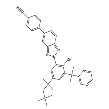 CC(C)(C)CC(C)(C)c1cc(-n2nc3ccc(-c4ccc(C#N)cc4)cc3n2)c(O)c(C(C)(C)c2ccccc2)c1